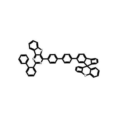 c1ccc(-c2ccccc2-c2nc(-c3ccc(-c4ccc(-c5ccc6c(c5)C5(c7ccccc7Oc7ccccc75)c5ccccc5-6)cc4)cc3)c3sc4ccccc4c3n2)cc1